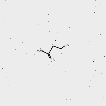 C=C(CCCCC)NC